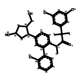 CN(C(=O)C(C)(C)c1cc(Cl)cc(Cl)c1)c1cnc(N2CC(O)CC2CO)cc1-c1ccccc1Cl